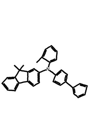 Cc1ccccc1N(c1ccc(-c2ccccc2)cc1)c1ccc2c(c1)C(C)(C)c1ccccc1-2